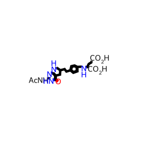 CC(=O)Nc1nc2c(c(=O)[nH]1)CC(CCc1ccc(CN[C@@H](CCC(=O)O)C(=O)O)cc1)CN2